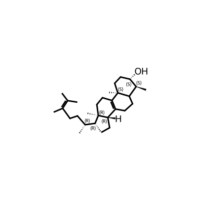 CC(C)=C(C)CC[C@@H](C)[C@H]1CC[C@H]2C3=C(CC[C@]12C)[C@@]1(C)CC[C@H](O)[C@@H](C)C1CC3